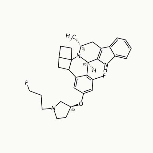 C[C@@H]1Cc2c([nH]c3ccccc23)[C@H]2c3c(F)cc(O[C@H]4CCN(CCCF)C4)cc3C3CC4CCC43N21